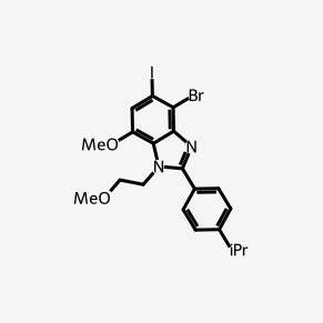 COCCn1c(-c2ccc(C(C)C)cc2)nc2c(Br)c(I)cc(OC)c21